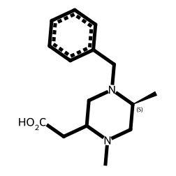 C[C@H]1CN(C)C(CC(=O)O)CN1Cc1ccccc1